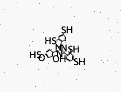 Oc1cc(OS)ccc1-c1nc(-c2ccc(S)cc2S)nc(-c2ccc(S)cc2S)n1